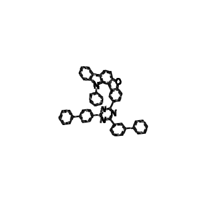 c1ccc(-c2ccc(-c3nc(-c4cccc(-c5ccccc5)c4)nc(-c4ccc5oc6ccc7c8ccccc8n(-c8ccccc8)c7c6c5c4)n3)cc2)cc1